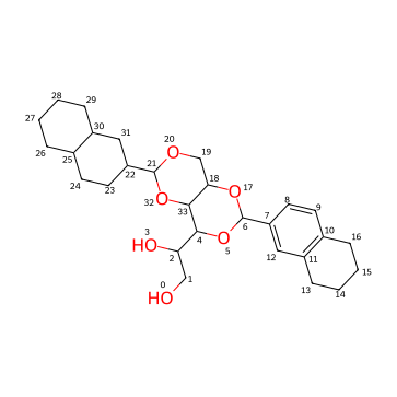 OCC(O)C1OC(c2ccc3c(c2)CCCC3)OC2COC(C3CCC4CCCCC4C3)OC21